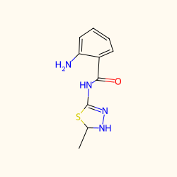 CC1NN=C(NC(=O)c2ccccc2N)S1